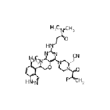 C=C(F)C(=O)N1CCN(c2nc(NCCC(=O)N(C)C)nc3c2OCC(c2c(C)ccc4[nH]ncc24)N3C)C[C@@H]1CC#N